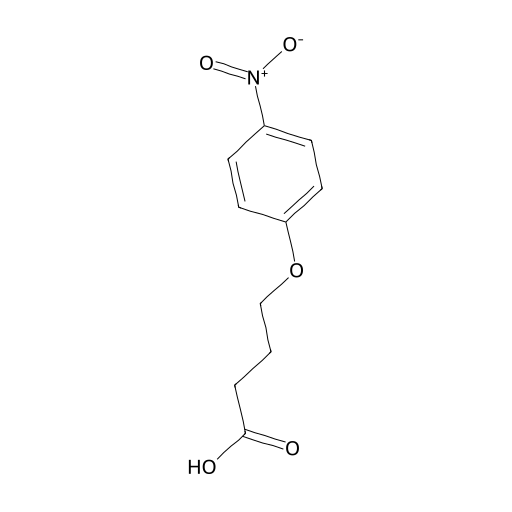 O=C(O)CCCOc1ccc([N+](=O)[O-])cc1